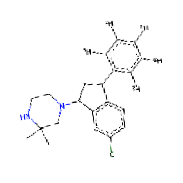 [2H]c1c([2H])c([2H])c(C2CC(N3CCNC(C)(C)C3)c3cc(Cl)ccc32)c([2H])c1[2H]